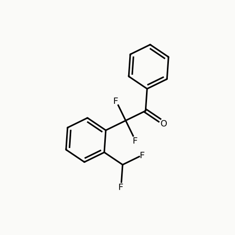 O=C(c1ccccc1)C(F)(F)c1ccccc1C(F)F